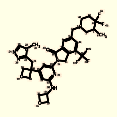 CC1CN(Cc2cc3c(c(C(F)(F)F)c2)CN(c2cc(C4(Cc5nncn5C)COC4)cc(NC4COC4)n2)C3=O)CCC1(F)F